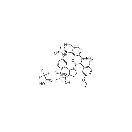 CCOc1ccc(F)c([C@@H](C(=O)N2CCC(C(=O)O)C2c2cc(NC(C)=O)ccc2S(=O)(=O)C(C)C)N(N)c2ccc3cnccc3c2)c1.O=C(O)C(F)(F)F